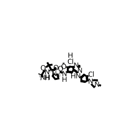 CN[C@@H](C)C(=O)N[C@H](C(=O)N1CCC[C@H]1C(=O)Nc1cc2c(Nc3ccc(N4CCN(C)CC4)c(Cl)c3)ncnc2cc1OC)C(C)(C)C.Cl